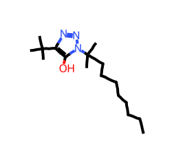 CCCCCCCCC(C)(C)n1nnc(C(C)(C)C)c1O